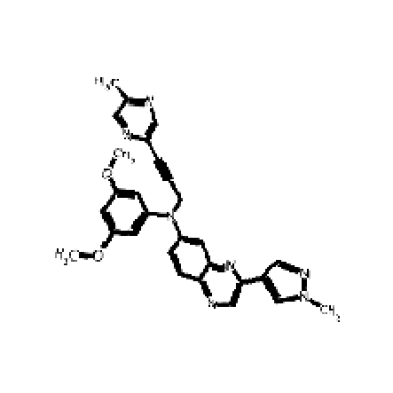 COc1cc(OC)cc(N(CC#Cc2cnc(C)cn2)c2ccc3ncc(-c4cnn(C)c4)nc3c2)c1